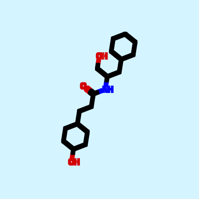 O=C(CCC1CCC(O)CC1)NC(CO)CC1CCCCC1